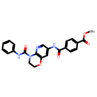 CC(C)(C)OC(=O)c1ccc(C(=O)Nc2cnc3c(c2)OCCN3C(=O)Nc2ccccc2)cc1